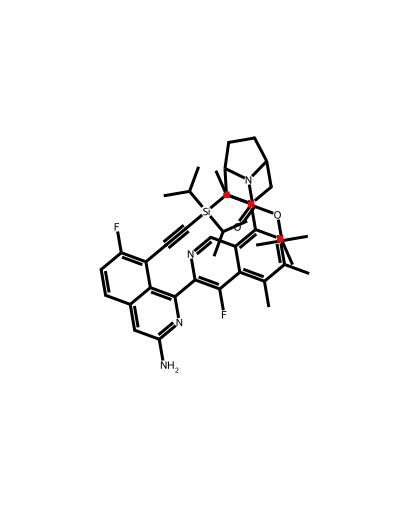 Cc1nc(N2CC3CCC(C2)N3C(=O)OC(C)(C)C)c2cnc(-c3nc(N)cc4ccc(F)c(C#C[Si](C(C)C)(C(C)C)C(C)C)c34)c(F)c2c1C